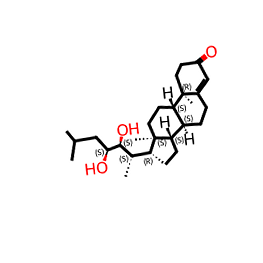 CC(C)C[C@H](O)[C@@H](O)[C@@H](C)[C@H]1CC[C@H]2[C@@H]3CCC4=CC(=O)CC[C@]4(C)[C@H]3CC[C@]12C